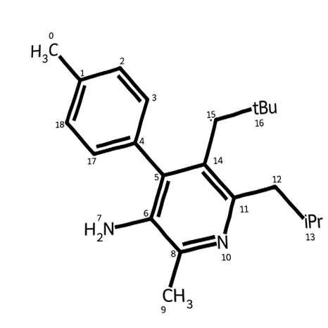 Cc1ccc(-c2c(N)c(C)nc(CC(C)C)c2[CH]C(C)(C)C)cc1